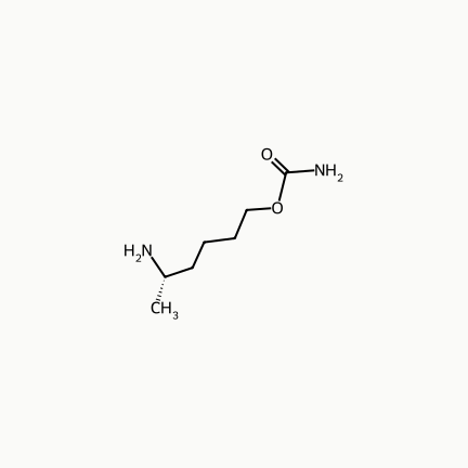 C[C@H](N)CCCCOC(N)=O